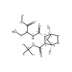 COC(=O)C(CO)NC(=O)[C@@H]1[C@H]2CC[C@H](C2)N1C(=O)OC(C)(C)C